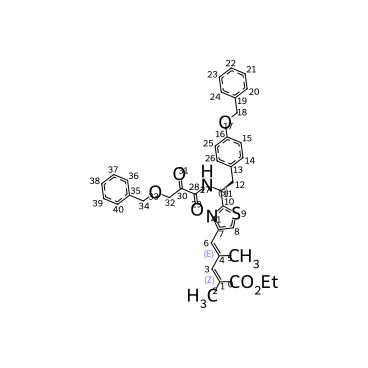 CCOC(=O)/C(C)=C\C(C)=C\c1csc([C@H](Cc2ccc(OCc3ccccc3)cc2)NC(=O)C(=O)COCc2ccccc2)n1